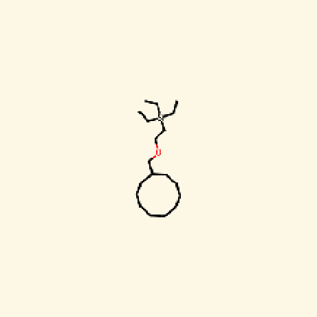 CC[Si](CC)(CC)CCOCC1CCCCCCCCC1